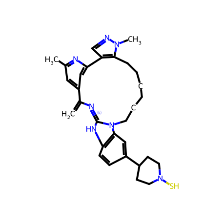 C=C1/N=C2\Nc3ccc(C4CCN(S)CC4)cc3N2CCCCCCc2c(cnn2C)-c2cc1cc(C)n2